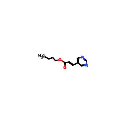 CCCCOC(=O)/C=C/c1cncnc1